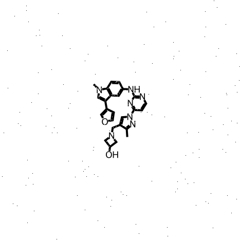 Cc1nn(-c2ccnc(Nc3ccc4c(c3)c(-c3ccoc3)cn4C)n2)cc1CN1CC(O)C1